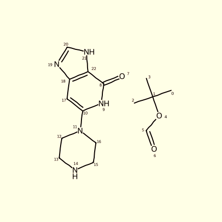 CC(C)(C)OC=O.O=c1[nH]c(N2CCNCC2)cc2nc[nH]c12